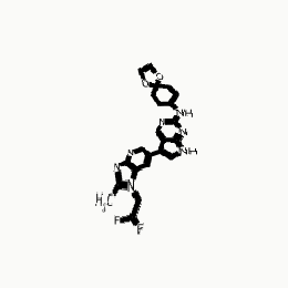 Cc1nc2ncc(-c3c[nH]c4nc(NC5CCC6(CC5)OCCO6)ncc34)cc2n1CC(F)F